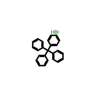 Br.c1ccc(C(c2ccccc2)(c2ccccc2)c2ccccc2)cc1